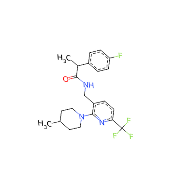 CC1CCN(c2nc(C(F)(F)F)ccc2CNC(=O)C(C)c2ccc(F)cc2)CC1